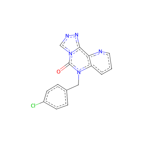 O=c1n(Cc2ccc(Cl)cc2)c2cccnc2c2nncn12